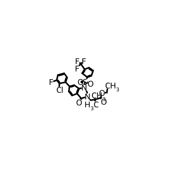 CCOC(=O)C(C)(C)CN1CN(S(=O)(=O)c2cccc(C(F)(F)F)c2)c2cc(-c3cccc(F)c3Cl)ccc2C1=O